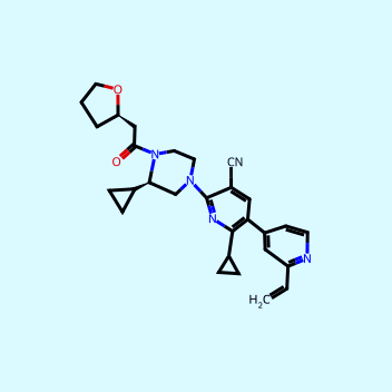 C=Cc1cc(-c2cc(C#N)c(N3CCN(C(=O)C[C@H]4CCCO4)[C@H](C4CC4)C3)nc2C2CC2)ccn1